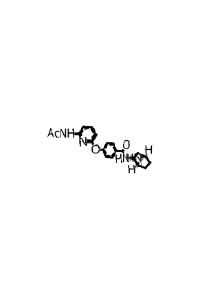 CC(=O)Nc1cccc(Oc2ccc(C(=O)N[C@@H]3C[C@H]4CC[C@@H]3N4)cc2)n1